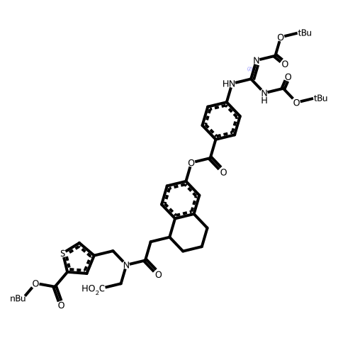 CCCCOC(=O)c1cc(CN(CC(=O)O)C(=O)CC2CCCc3cc(OC(=O)c4ccc(N/C(=N/C(=O)OC(C)(C)C)NC(=O)OC(C)(C)C)cc4)ccc32)cs1